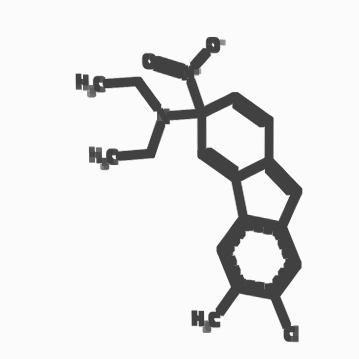 CCN(CC)C1([N+](=O)[O-])C=CC2=Cc3cc(Cl)c(C)cc3C2=C1